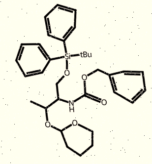 CC(OC1CCCCO1)C(CO[Si](c1ccccc1)(c1ccccc1)C(C)(C)C)NC(=O)OCc1ccccc1